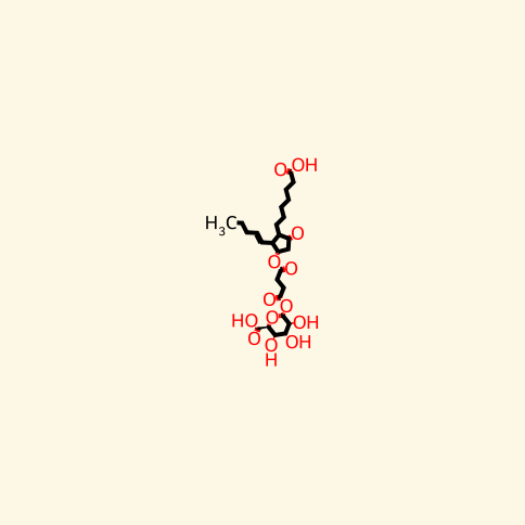 CCC/C=C/C1C(OC(=O)CCC(=O)OC2O[C@H](C(=O)O)[C@@H](O)[C@H](O)[C@H]2O)CC(=O)C1CCCCCCC(=O)O